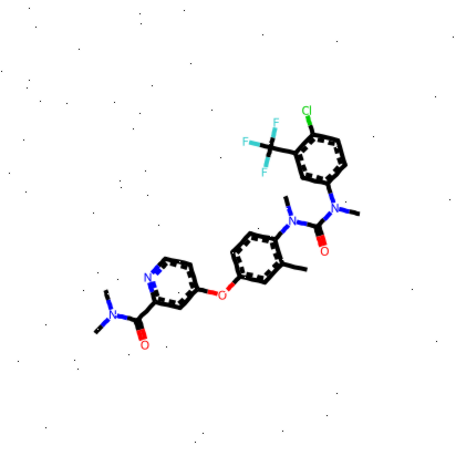 Cc1cc(Oc2ccnc(C(=O)N(C)C)c2)ccc1N(C)C(=O)N(C)c1ccc(Cl)c(C(F)(F)F)c1